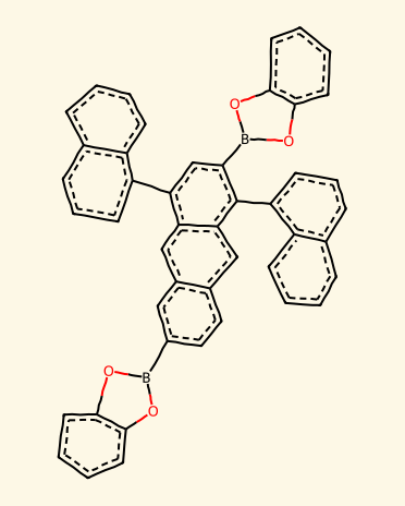 c1ccc2c(c1)OB(c1ccc3cc4c(-c5cccc6ccccc56)c(B5Oc6ccccc6O5)cc(-c5cccc6ccccc56)c4cc3c1)O2